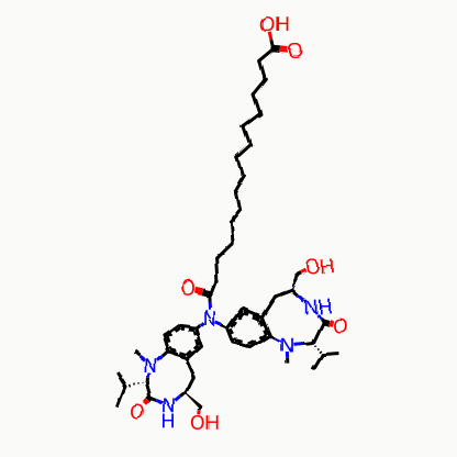 CC(C)[C@H]1C(=O)N[C@H](CO)Cc2cc(N(C(=O)CCCCCCCCCCCCCCC(=O)O)c3ccc4c(c3)C[C@@H](CO)NC(=O)[C@H](C(C)C)N4C)ccc2N1C